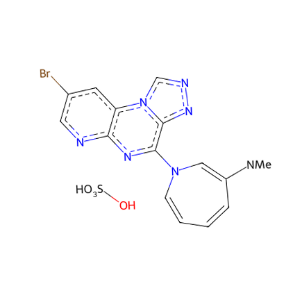 CNC1=CN(c2nc3ncc(Br)cc3n3cnnc23)C=CC=C1.O=S(=O)(O)O